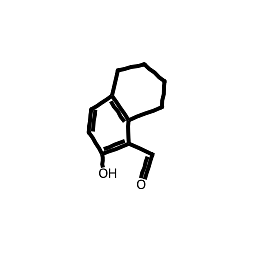 O=Cc1c(O)ccc2c1CCCC2